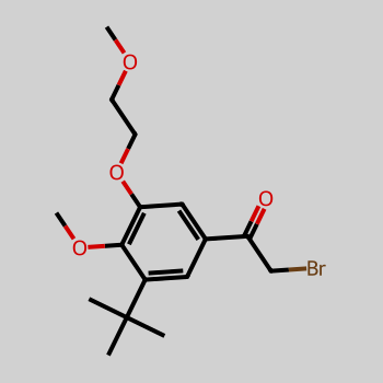 COCCOc1cc(C(=O)CBr)cc(C(C)(C)C)c1OC